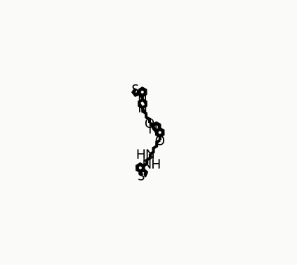 c1cc(NCCNCCCCOc2ccc3ccc(OCCCCN4CCN(c5cccc6sccc56)CC4)nc3c2)c2ccsc2c1